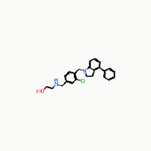 OCCNCc1ccc(CN2CCc3c(-c4ccccc4)cccc32)c(Cl)c1